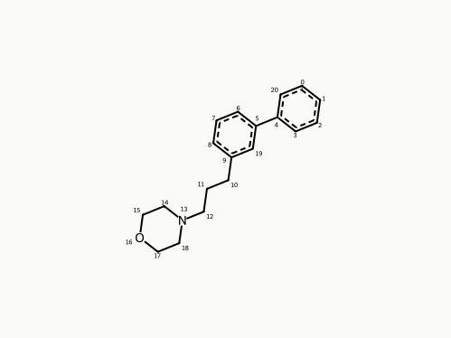 [c]1cccc(-c2cccc(CCCN3CCOCC3)c2)c1